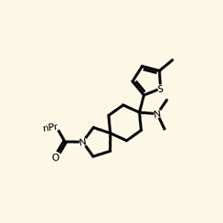 CCCC(=O)N1CCC2(CCC(c3ccc(C)s3)(N(C)C)CC2)C1